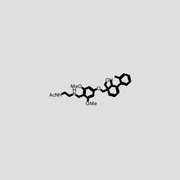 COc1cc(OCC2(CO)C=CC=C(c3ccccc3C)C2C)cc(OC)c1CNCCNC(C)=O